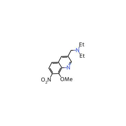 CCN(CC)Cc1cnc2c(OC)c([N+](=O)[O-])ccc2c1